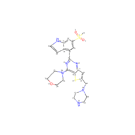 CS(=O)(=O)c1cc(-c2nc(N3CCOCC3)c3sc(CN4CCNCC4)cc3n2)c2cc[nH]c2c1